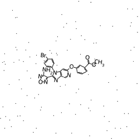 COC(=O)c1cccc(Oc2cc3c(cn2)nc(-c2nonc2N)n3-c2ccc(Br)cc2)c1